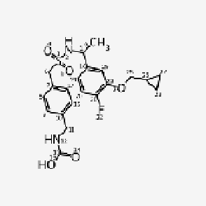 CC(NS(=O)(=O)Cc1ccc(CNC(=O)O)cc1)c1ccc(F)c(OCC2CC2)c1